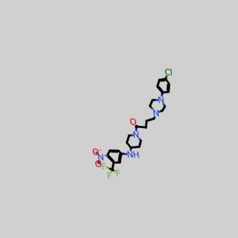 O=C(CCCN1CCN(c2ccc(Cl)cc2)CC1)N1CCC(Nc2ccc([N+](=O)[O-])c(C(F)(F)F)c2)CC1